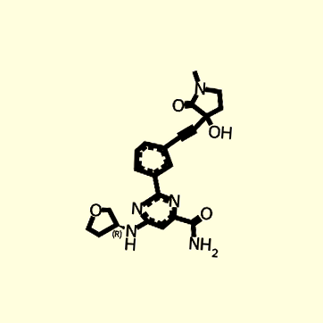 CN1CCC(O)(C#Cc2cccc(-c3nc(N[C@@H]4CCOC4)cc(C(N)=O)n3)c2)C1=O